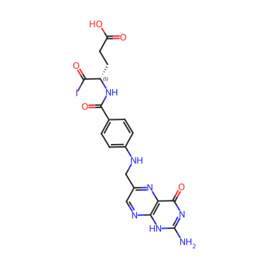 Nc1nc(=O)c2nc(CNc3ccc(C(=O)N[C@@H](CCC(=O)O)C(=O)I)cc3)cnc2[nH]1